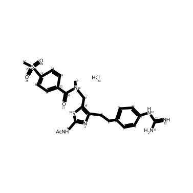 CC(=O)Nc1nc(CCc2ccc(NC(=N)N)cc2)c(CN(C)C(=O)c2ccc(S(C)(=O)=O)cc2)s1.Cl